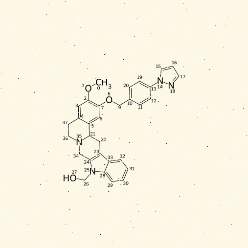 COc1cc2c(cc1OCc1ccc(-n3cccn3)cc1)C1Cc3c(n(CO)c4ccccc34)CN1CC2